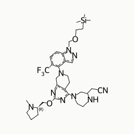 CN1CCC[C@@H]1COc1nc2c(c(N3CCNC(CC#N)C3)n1)CCN(c1c(C(F)(F)F)ccc3c1cnn3COCC[Si](C)(C)C)C2